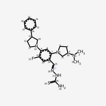 CN(C)[C@@H]1CCN(c2cc(N3CCC(c4ccccc4)C3)c(F)cc2/C=N/NC(N)=S)C1